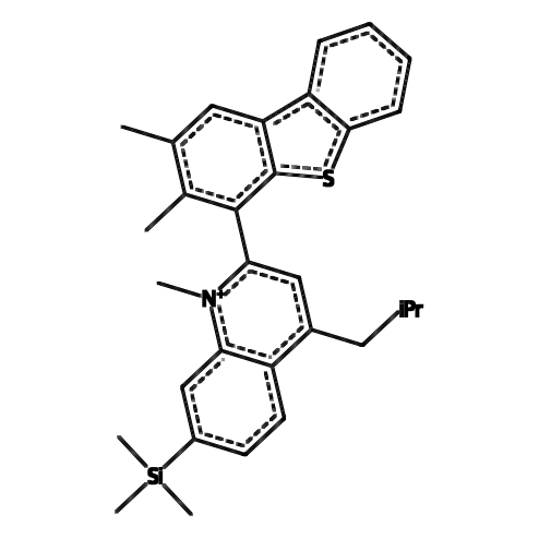 Cc1cc2c(sc3ccccc32)c(-c2cc(CC(C)C)c3ccc([Si](C)(C)C)cc3[n+]2C)c1C